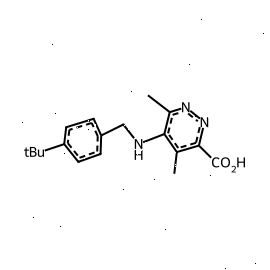 Cc1nnc(C(=O)O)c(C)c1NCc1ccc(C(C)(C)C)cc1